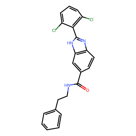 O=C(NCCc1ccccc1)c1ccc2nc(-c3c(Cl)cccc3Cl)[nH]c2c1